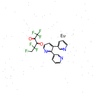 O=C(C(=O)C(F)(F)CF)C(F)(F)F.[Eu].c1cncc(-c2cccnc2-c2cccnc2)c1